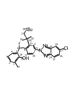 Cc1cccc(C(C)c2ccc(-n3nc4ccc(Cl)cc4n3)cc2C(C)(C)CC(C)(C)C)c1O